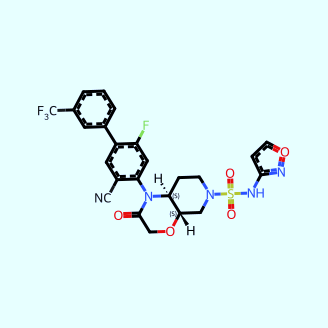 N#Cc1cc(-c2cccc(C(F)(F)F)c2)c(F)cc1N1C(=O)CO[C@H]2CN(S(=O)(=O)Nc3ccon3)CC[C@@H]21